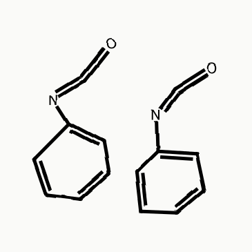 O=C=Nc1ccccc1.O=C=Nc1ccccc1